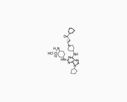 Cl.Cl.N[C@H]1CC[C@H](Nc2nc(NC3CCN(/C=C/C(=O)c4ccccc4)CC3)c3ncn(C4CCCC4)c3n2)CC1